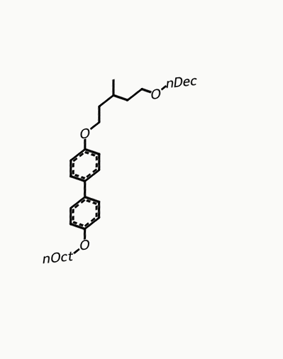 CCCCCCCCCCOCCC(C)CCOc1ccc(-c2ccc(OCCCCCCCC)cc2)cc1